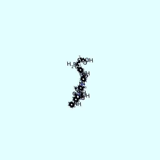 BC(C)(CCOC(C)(C)CC(=O)O)Oc1ccc(NS(=O)(=O)c2ccc(/N=N/c3cc(OC)c(N/N=C4/C(=O)c5ccc(Nc6ccccc6)cc5C=C4S(=O)(=O)O)cc3C)cc2)cc1